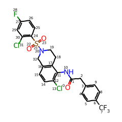 O=C(Cc1ccc(C(F)(F)F)cc1)Nc1c(Cl)ccc2c1CCN(S(=O)(=O)c1ccc(F)cc1Cl)C2